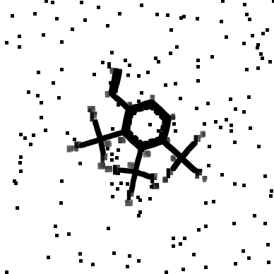 C=Cc1ccc(C(F)(F)F)c(C(F)(F)F)c1C(F)(F)F